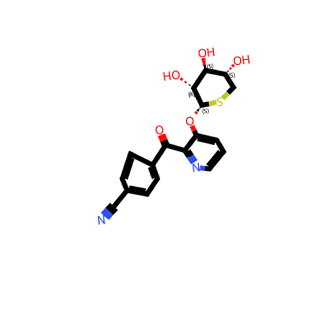 N#Cc1ccc(C(=O)c2ncccc2O[C@H]2SC[C@@H](O)[C@H](O)[C@H]2O)cc1